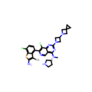 CN(c1nc(N2CC(N3CC4(CC4)C3)C2)nc2c(F)c(-c3ccc(F)c4sc(N)c(C#N)c34)ncc12)[C@@H]1CCNC1